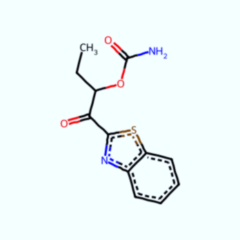 CCC(OC(N)=O)C(=O)c1nc2ccccc2s1